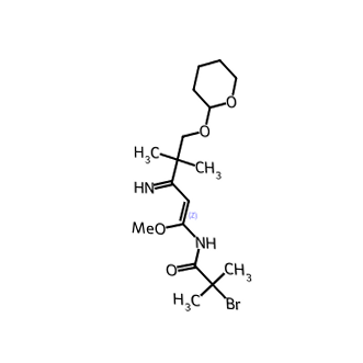 CO/C(=C\C(=N)C(C)(C)COC1CCCCO1)NC(=O)C(C)(C)Br